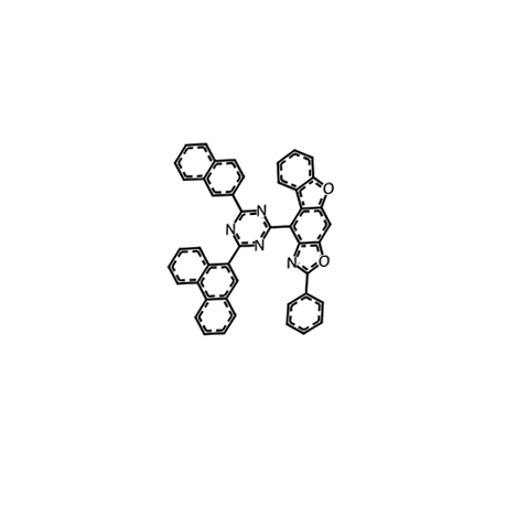 c1ccc(-c2nc3c(-c4nc(-c5ccc6ccccc6c5)nc(-c5cc6ccccc6c6ccccc56)n4)c4c(cc3o2)oc2ccccc24)cc1